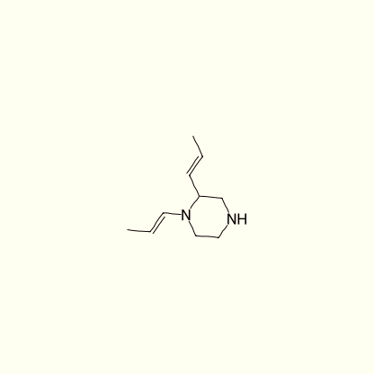 CC=CC1CNCCN1C=CC